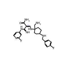 N=C(Nc1ccnc(F)c1)/C(=C\NC1(CN)CCC(NCc2ccc(F)cc2)CC1)C(N)=O